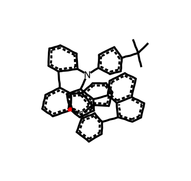 CC(C)(C)c1ccc(N(c2ccccc2-c2cccc3cccc(-c4ccccc4)c23)c2ccccc2-c2cccc3sc4ccccc4c23)cc1